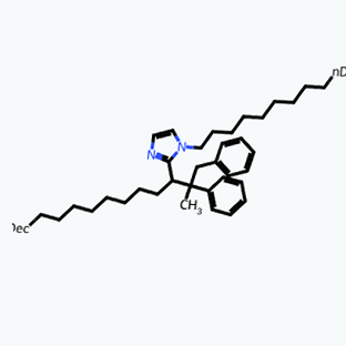 CCCCCCCCCCCCCCCCCCCn1ccnc1C(CCCCCCCCCCCCCCCCCC)C(C)(Cc1ccccc1)c1ccccc1